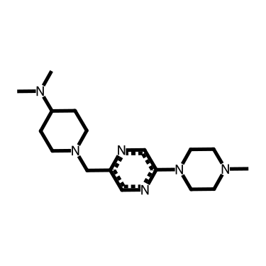 CN1CCN(c2cnc(CN3CCC(N(C)C)CC3)cn2)CC1